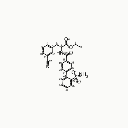 CCOC(=O)[C@H](Cc1cccc(C#N)c1)NC(=O)c1ccc(-c2ccccc2S(N)(=O)=O)cc1